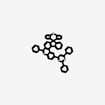 c1ccc(-c2cc(-c3ccc4nc(-c5ccccc5)c5ccc6c(c5c4c3)-c3ccccc3C63c4ccccc4Sc4ccccc43)nc(-c3ccccc3)n2)cc1